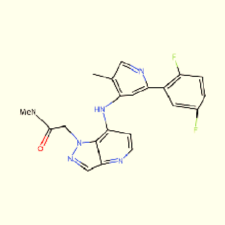 CNC(=O)Cn1ncc2nccc(Nc3cc(-c4cc(F)ccc4F)ncc3C)c21